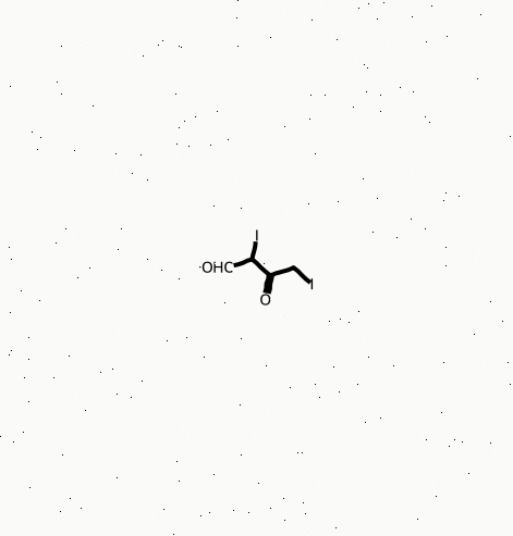 O=[C]C(I)C(=O)CI